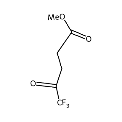 COC(=O)CCC(=O)C(F)(F)F